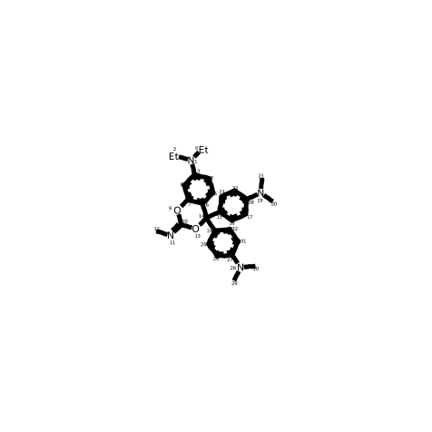 CCN(CC)c1ccc2c(c1)OC(=NC)OC2(c1ccc(N(C)C)cc1)c1ccc(N(C)C)cc1